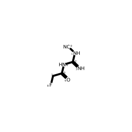 N#CNC(=N)NC(=O)CF